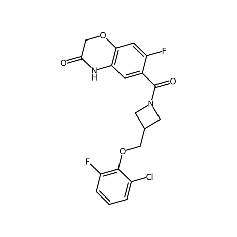 O=C1COc2cc(F)c(C(=O)N3CC(COc4c(F)cccc4Cl)C3)cc2N1